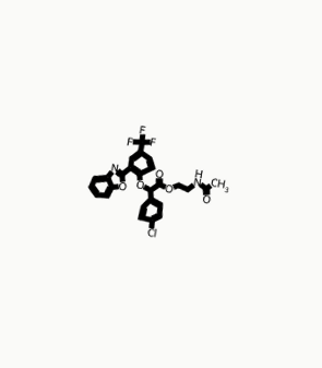 CC(=O)NCCOC(=O)C(Oc1ccc(C(F)(F)F)cc1-c1nc2ccccc2o1)c1ccc(Cl)cc1